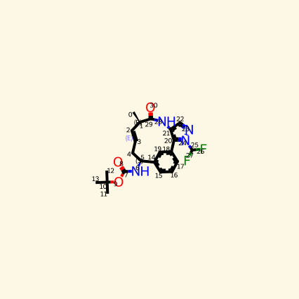 C[C@@H]1/C=C/C[C@H](NC(=O)OC(C)(C)C)c2cccc(c2)-c2c(cnn2C(F)F)NC1=O